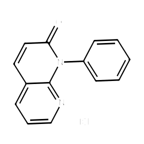 Cl.O=c1ccc2cccnc2n1-c1ccccc1